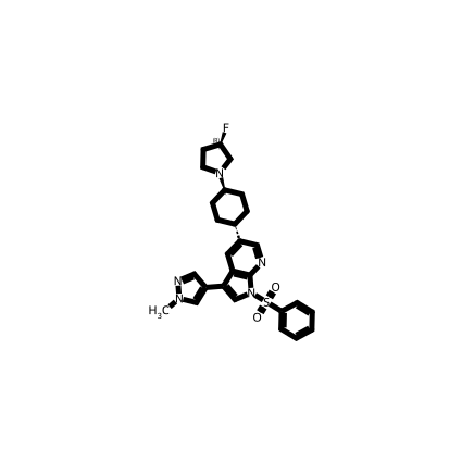 Cn1cc(-c2cn(S(=O)(=O)c3ccccc3)c3ncc([C@H]4CC[C@H](N5CC[C@@H](F)C5)CC4)cc23)cn1